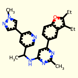 CCc1oc2ccc(-c3cc(NC(C)c4cncc(-c5cnn(C)c5)c4)nc(C)n3)cc2c1CC